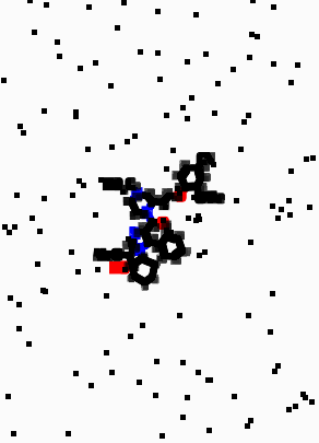 COC[C@]1(O)CCCC[C@H]1n1cnc(C(=O)N2CCN(C(=O)O)C[C@H]2CCOc2ccc(C#N)cc2OC)c1-c1ccccc1